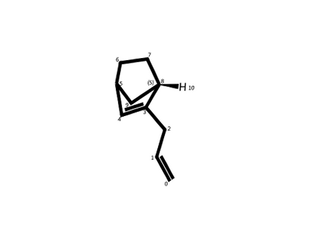 C=CCC1=CC2CC[C@H]1C2